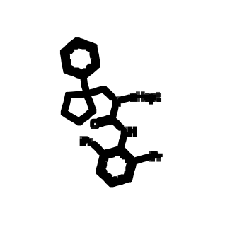 CCCCCCCN(CC1(c2ccccc2)CCCC1)C(=O)Nc1c(C(C)C)cccc1C(C)C